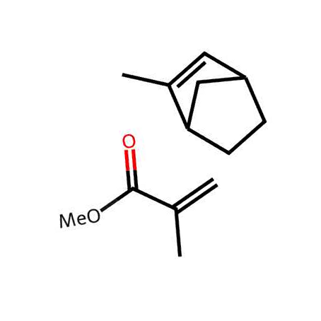 C=C(C)C(=O)OC.CC1=CC2CCC1C2